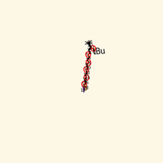 CC(C)(C)OC(CCOCCOCCOCCOCCOSI)=C1CC1